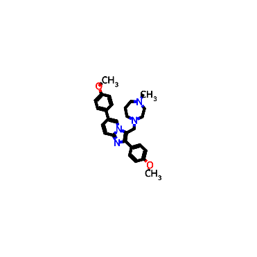 COc1ccc(-c2ccc3nc(-c4ccc(OC)cc4)c(CN4CCCN(C)CC4)n3c2)cc1